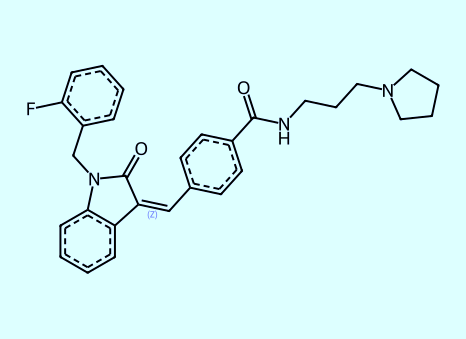 O=C(NCCCN1CCCC1)c1ccc(/C=C2\C(=O)N(Cc3ccccc3F)c3ccccc32)cc1